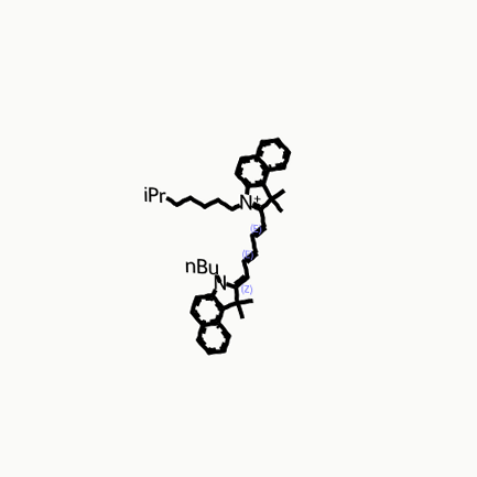 CCCCN1\C(=C/C=C/C=C/C2=[N+](CCCCCC(C)C)c3ccc4ccccc4c3C2(C)C)C(C)(C)c2c1ccc1ccccc21